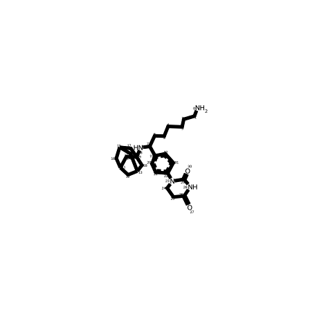 NCCCCCCC(NC12CC3CC(CC(C3)C1)C2)c1ccc(N2CCC(=O)NC2=O)cc1